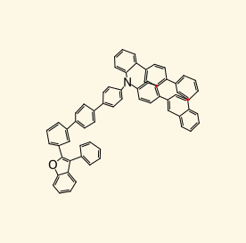 c1ccc(-c2ccc(-c3ccccc3N(c3ccc(-c4ccc(-c5cccc(-c6oc7ccccc7c6-c6ccccc6)c5)cc4)cc3)c3ccc(-c4ccc5ccccc5c4)cc3)cc2)cc1